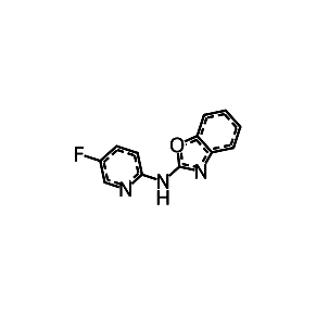 Fc1ccc(Nc2nc3ccccc3o2)nc1